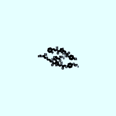 CCCCC(CC)COCCCNC(=O)c1nc(CNC(=O)COc2ccc(OC(F)(F)F)cc2)sc1N1COC=C1C(N)=O.CCc1ccc(NC(=O)NCc2nc(C(=O)NCCc3ccccc3F)cs2)cc1